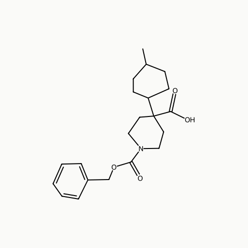 CC1CCC(C2(C(=O)O)CCN(C(=O)OCc3ccccc3)CC2)CC1